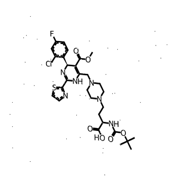 COC(=O)C1=C(CN2CCN(CCC(NC(=O)OC(C)(C)C)C(=O)O)CC2)NC(c2nccs2)=N[C@H]1c1ccc(F)cc1Cl